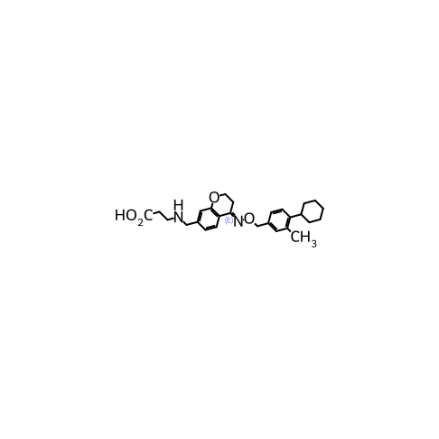 Cc1cc(CO/N=C2\CCOc3cc(CNCCC(=O)O)ccc32)ccc1C1CCCCC1